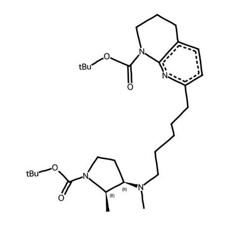 C[C@@H]1[C@H](N(C)CCCCCc2ccc3c(n2)N(C(=O)OC(C)(C)C)CCC3)CCN1C(=O)OC(C)(C)C